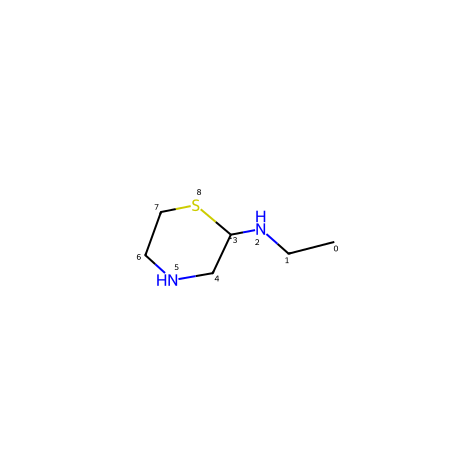 CCN[C]1CNCCS1